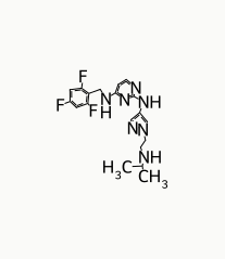 CC(C)NCCn1cc(Nc2nccc(NCc3c(F)cc(F)cc3F)n2)cn1